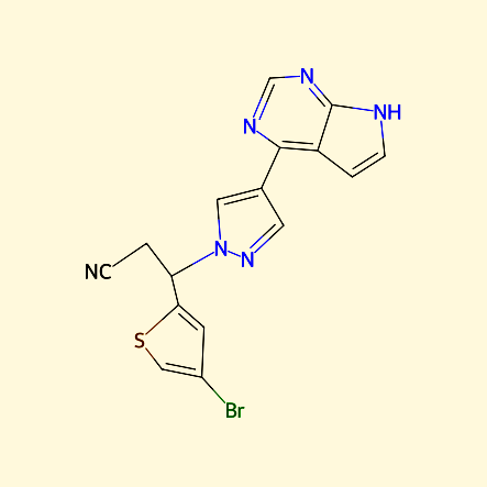 N#CCC(c1cc(Br)cs1)n1cc(-c2ncnc3[nH]ccc23)cn1